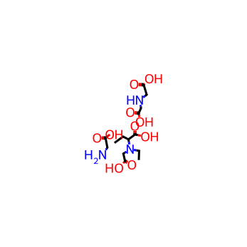 CCC(C(=O)O)N(CC)CC(=O)O.NCC(=O)O.O=C(O)CNCC(=O)O